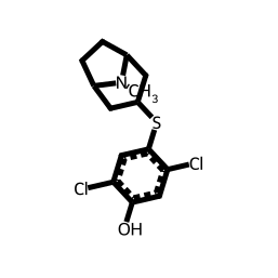 CN1C2CCC1CC(Sc1cc(Cl)c(O)cc1Cl)C2